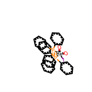 [O]=[Re](=[O])([I])([PH](c1ccccc1)(c1ccccc1)c1ccccc1)[PH](c1ccccc1)(c1ccccc1)c1ccccc1